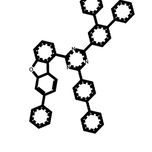 C1=CC2c3c(cccc3-c3nc(-c4ccc(-c5ccccc5)cc4)nc(-c4ccc(-c5ccccc5)c(-c5ccccc5)c4)n3)OC2C=C1c1ccccc1